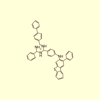 NC(NC(NCc1ccc(-c2ccccc2)cc1)c1ccc(Nc2cc3sc4ccccc4c3cc2-c2ccccc2)cc1)c1ccccc1